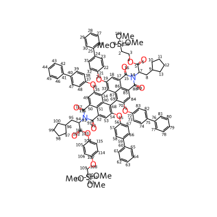 CO[Si](CCOC(=O)C(CC1CCCC1)N1C(=O)c2cc(Oc3ccc(-c4ccccc4)cc3)c3c4c(Oc5ccc(-c6ccccc6)cc5)cc5c6c(cc(Oc7ccc(-c8ccccc8)cc7)c(c7c(Oc8ccc(-c9ccccc9)cc8)cc(c2c37)C1=O)c64)C(=O)N(C(CC1CCCC1)C(=O)Oc1ccc(OC[Si](OC)(OC)OC)cc1)C5=O)(OC)OC